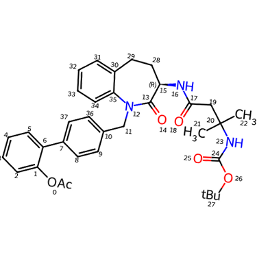 CC(=O)Oc1ccccc1-c1ccc(CN2C(=O)[C@H](NC(=O)CC(C)(C)NC(=O)OC(C)(C)C)CCc3ccccc32)cc1